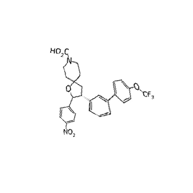 O=C(O)N1CCC2(CC1)C[C@H](c1cccc(-c3ccc(OC(F)(F)F)cc3)c1)C(c1ccc([N+](=O)[O-])cc1)O2